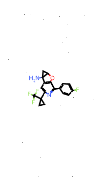 N[C@@]12CC1Oc1c2cc(C2(C(F)(F)F)CC2)nc1-c1ccc(F)cc1